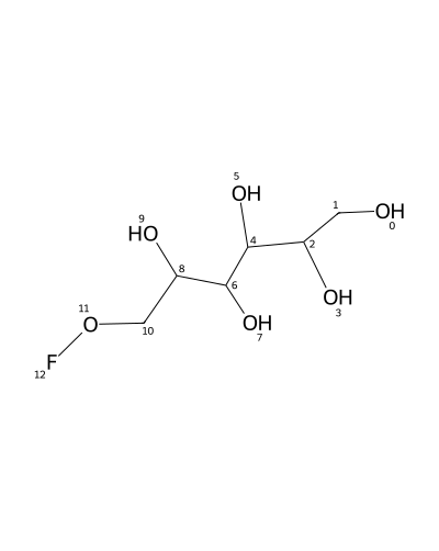 OCC(O)C(O)C(O)C(O)COF